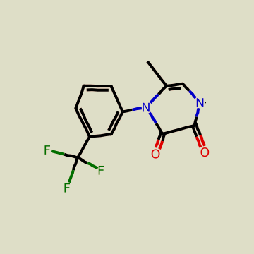 CC1=C[N]C(=O)C(=O)N1c1cccc(C(F)(F)F)c1